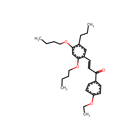 CCCCOc1cc(OCCCC)c(CCC)cc1C=CC(=O)c1ccc(OCC)cc1